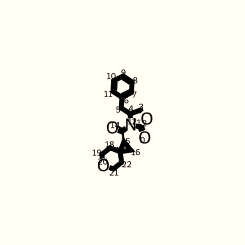 O=C1OCC(Cc2ccccc2)N1C(=O)[C@H]1CC12CCOCC2